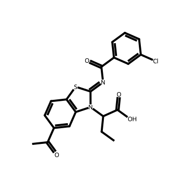 CCC(C(=O)O)n1c(=NC(=O)c2cccc(Cl)c2)sc2ccc(C(C)=O)cc21